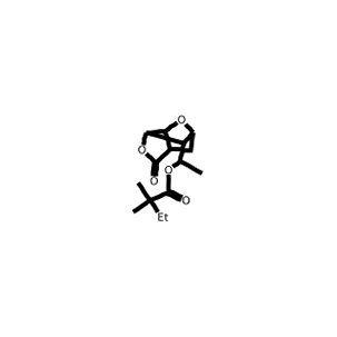 CCC(C)(C)C(=O)OC(C)C1C2CC3C(=O)OC1C3O2